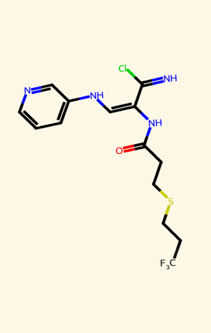 N=C(Cl)/C(=C\Nc1cccnc1)NC(=O)CCSCCC(F)(F)F